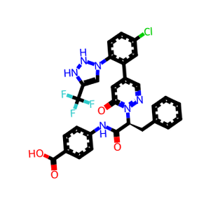 O=C(O)c1ccc(NC(=O)[C@H](Cc2ccccc2)n2ncc(-c3cc(Cl)ccc3N3C=C(C(F)(F)F)NN3)cc2=O)cc1